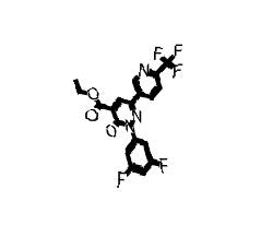 CCOC(=O)c1cc(-c2ccc(C(F)(F)F)nc2)nn(-c2cc(F)cc(F)c2)c1=O